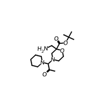 CC(=O)C(N1CCCCC1)N1CCOC(CN)(C(=O)OC(C)(C)C)C1